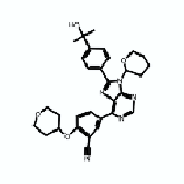 CC(C)(O)c1ccc(-c2nc3c(-c4ccc(OC5CCOCC5)c(C#N)c4)ncnc3n2C2CCCCO2)cc1